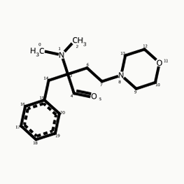 CN(C)C(C=O)(CCN1CCOCC1)Cc1ccccc1